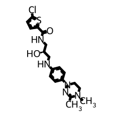 CC1=NN(c2ccc(NC[C@@H](O)CNC(=O)c3ccc(Cl)s3)cc2)CCN1C